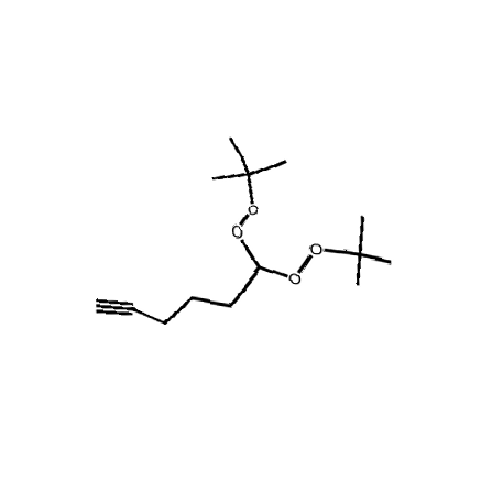 C#CCCCC(OOC(C)(C)C)OOC(C)(C)C